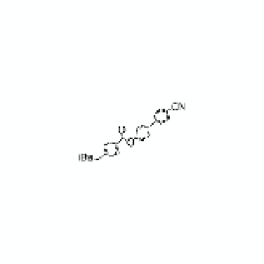 CC[C@H](C)Cc1ccc(C(=O)Oc2ccc(-c3ccc(C#N)cc3)cc2)cc1